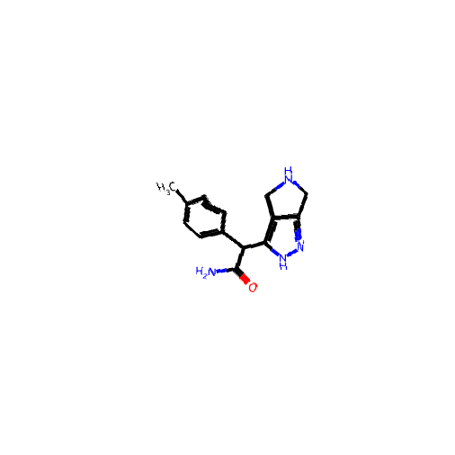 Cc1ccc(C(C(N)=O)c2[nH]nc3c2CNC3)cc1